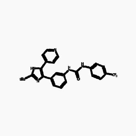 CC(C)(C)c1nc(-c2cccc(NC(=O)Nc3ccc(C(F)(F)F)cc3)c2)c(-c2ccncc2)[nH]1